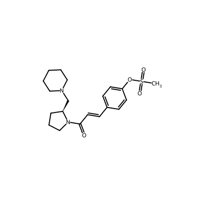 CS(=O)(=O)Oc1ccc(C=CC(=O)N2CCC[C@H]2CN2CCCCC2)cc1